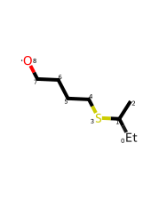 CCC(C)SCCCC[O]